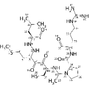 CSCC[C@H](NN[C@H](C=O)CC(C)C)C(=O)C(=O)[C@H](CS)NC(C)N1CCC[C@H]1C(=O)N[C@H](C=O)CCCNC(=N)N